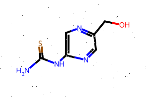 NC(=S)Nc1cnc(CO)cn1